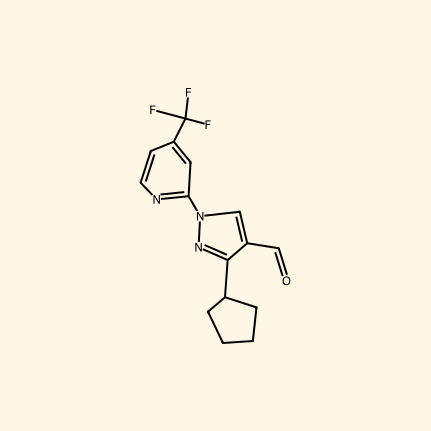 O=Cc1cn(-c2cc(C(F)(F)F)ccn2)nc1C1CCCC1